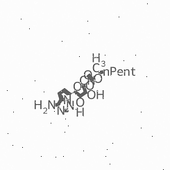 CCCCCC(C)OC(=O)O[C@@]1(C#N)O[C@@H](c2ccc3c(N)ncnn23)[C@H](O)[C@@H]1O